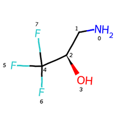 NC[C@@H](O)C(F)(F)F